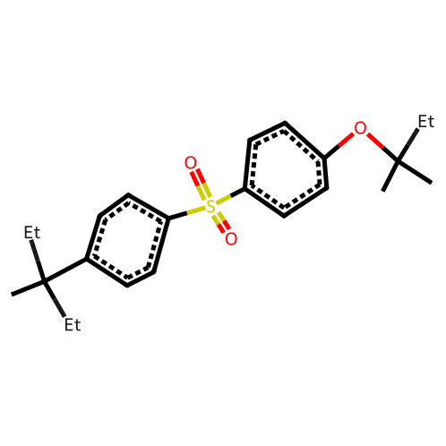 CCC(C)(C)Oc1ccc(S(=O)(=O)c2ccc(C(C)(CC)CC)cc2)cc1